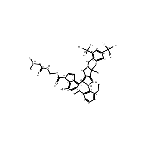 CCc1cccc(CC)c1-n1nc2c(c1-c1ccc(F)c3c1ccn3C(=O)OCOC(=O)CN(C)C)CN(Cc1ccc(C(F)(F)F)cc1C(F)(F)F)C2(C)C